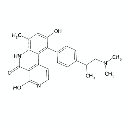 Cc1cc(O)c(-c2ccc(C(C)CN(C)C)cc2)c2c1[nH]c(=O)c1c(O)nccc12